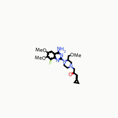 COCC1CN(CC(=O)C=C2CC2)CCN1c1nc(N)c2cc(OC)c(OC)c(F)c2n1